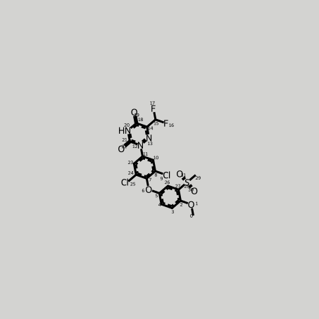 COc1ccc(Oc2c(Cl)cc(-n3nc(C(F)F)c(=O)[nH]c3=O)cc2Cl)cc1S(C)(=O)=O